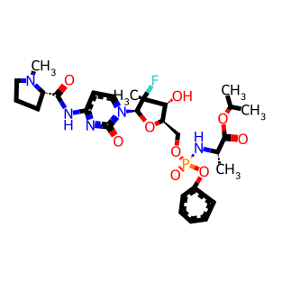 CC(C)OC(=O)[C@H](C)N[P@](=O)(OC[C@H]1O[C@@H](n2ccc(NC(=O)[C@@H]3CCCN3C)nc2=O)[C@](C)(F)[C@@H]1O)Oc1ccccc1